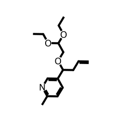 C=CCC(OCC(OCC)OCC)c1ccc(C)nc1